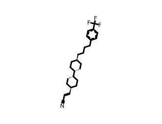 N#CC=C[C@H]1CC[C@H]([C@H]2CC[C@H](CCCCc3ccc(C(F)(F)F)cc3)CC2)CC1